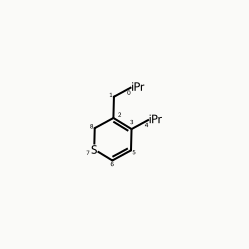 CC(C)CC1=C(C(C)C)C=CSC1